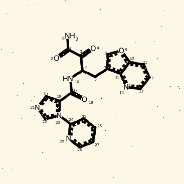 NC(=O)C(=O)C(Cc1coc2cccnc12)NC(=O)c1cncn1-c1ccccn1